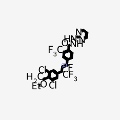 C=C(OCC)c1c(Cl)cc(C(/C=C(\F)c2ccc(C(=O)NNc3ncccn3)c(C(F)(F)F)c2)C(F)(F)F)cc1Cl